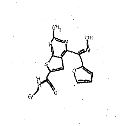 CCNC(=O)c1cc2c(/C(=N\O)c3ccco3)nc(N)nc2s1